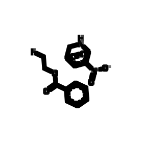 O=C(OCCF)c1ccccc1.O=[N+]([O-])c1cc2ccc1NC2